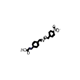 O=C(O)/C=C/c1ccc(C=NOCc2ccc([N+](=O)[O-])cc2)cc1